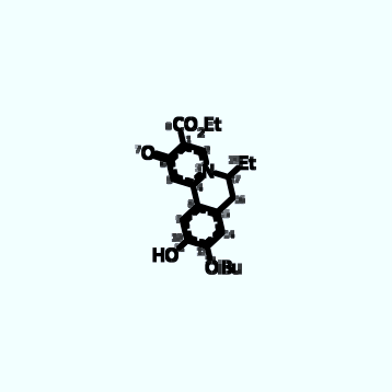 CCOC(=O)c1cn2c(cc1=O)-c1cc(O)c(OCC(C)C)cc1CC2CC